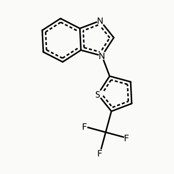 FC(F)(F)c1ccc(-n2cnc3ccccc32)s1